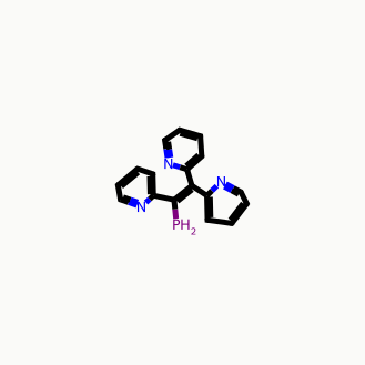 PC(=C(c1ccccn1)c1ccccn1)c1ccccn1